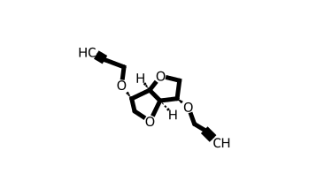 C#CCO[C@H]1CO[C@H]2[C@@H]1OC[C@@H]2OCC#C